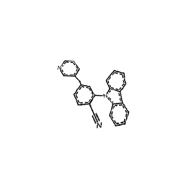 N#Cc1ccc(-c2cccnc2)cc1-n1c2ccccc2c2ccccc21